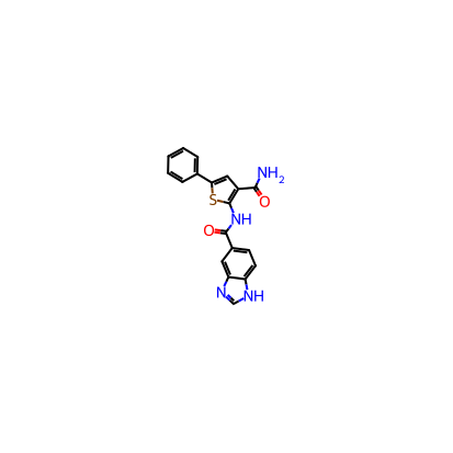 NC(=O)c1cc(-c2ccccc2)sc1NC(=O)c1ccc2[nH]cnc2c1